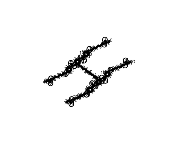 C=CC(=O)OCCCCCCOc1ccc(C(=O)Oc2ccc(OC(=O)c3ccc(OCCCCCCOC(=O)C=C)cc3)c(CCCCCCCCCCc3cc(OC(=O)c4ccc(OCCCCCCOC(=O)C=C)cc4)ccc3OC(=O)c3ccc(OCCCCCCOC(=O)C=C)cc3)c2)cc1